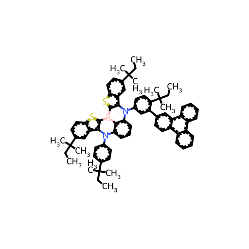 CCC(C)(C)c1ccc(N2c3cccc4c3B(c3sc5ccc(C(C)(C)CC)cc5c32)c2sc3ccc(C(C)(C)CC)cc3c2N4c2ccc(C(C)(C)CC)c(-c3ccc4c5ccccc5c5ccccc5c4c3)c2)cc1